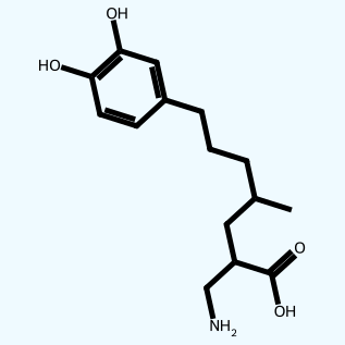 CC(CCCc1ccc(O)c(O)c1)CC(CN)C(=O)O